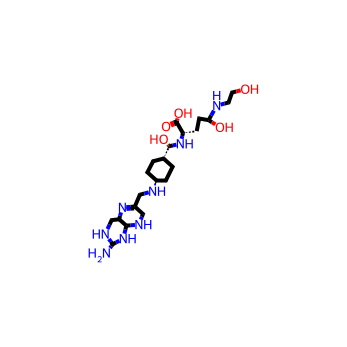 NC1NCC2N=C(CN[C@H]3CC[C@@H](C(O)N[C@@H](CCC(O)NCCO)C(=O)O)CC3)CNC2N1